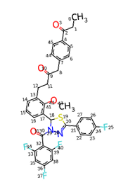 CCC(=O)c1ccc(CC(=O)CCc2cccc(C3SC(c4ccc(F)cc4)=NN3C(=O)c3c(F)cc(F)cc3F)c2OC)cc1